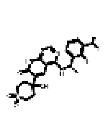 C[C@@H](Nc1ncnc2[nH]c(=O)c(C3(C#N)CCS(=O)(=O)CC3)cc12)c1cccc(C(F)F)c1F